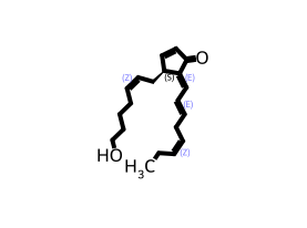 CC/C=C\C/C=C/C=C1/C(=O)C=C[C@@H]1C/C=C\CCCCO